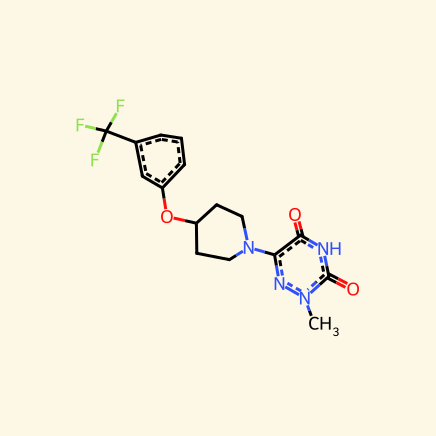 Cn1nc(N2CCC(Oc3cccc(C(F)(F)F)c3)CC2)c(=O)[nH]c1=O